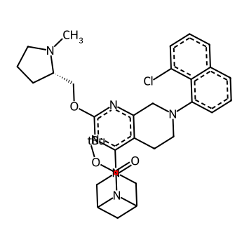 CN1CCC[C@H]1COc1nc2c(c(N3CC4CC(C3)N4C(=O)OC(C)(C)C)n1)CCN(c1cccc3cccc(Cl)c13)C2